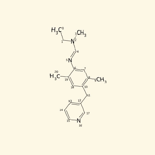 CCN(C)C=Nc1cc(C)c(Cc2cccnc2)cc1C